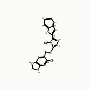 CCn1c(SCc2cc3c(cc2Cl)OCO3)nnc1-c1cc2ccccc2s1